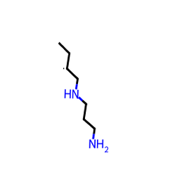 CC[CH]CNCCCN